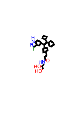 O=C(/C=C/c1ccc(/C(=C(\c2ccccc2)C2CCC2)c2ccc3[nH]nc(F)c3c2)cc1)NCC(O)CO